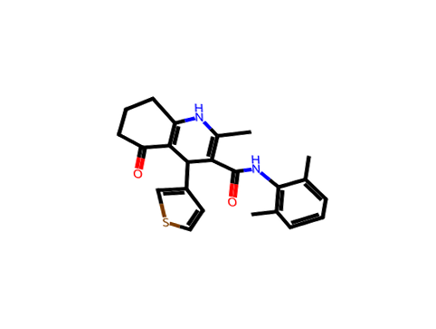 CC1=C(C(=O)Nc2c(C)cccc2C)C(c2ccsc2)C2=C(CCCC2=O)N1